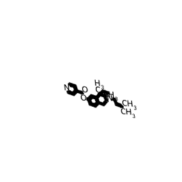 CC(C)=CCN1CCC2(C)c3cc(OC(=O)c4ccncc4)ccc3CC1C2C